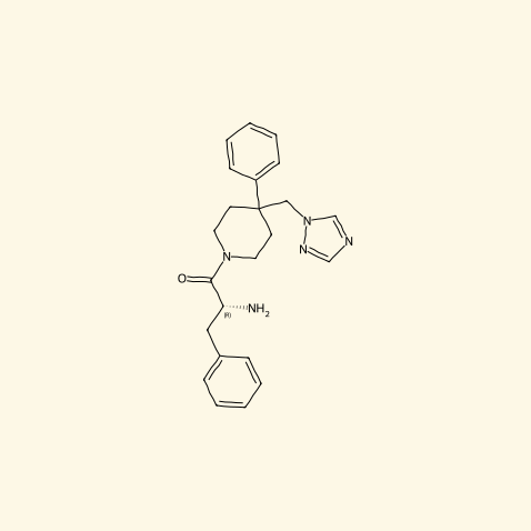 N[C@H](Cc1ccccc1)C(=O)N1CCC(Cn2cncn2)(c2ccccc2)CC1